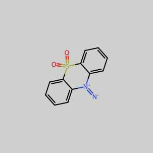 [N-]=[N+]1c2ccccc2S(=O)(=O)c2ccccc21